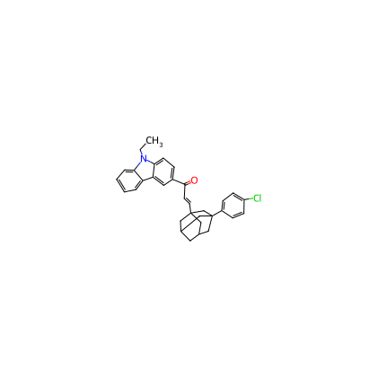 CCn1c2ccccc2c2cc(C(=O)C=CC34CC5CC(C3)CC(c3ccc(Cl)cc3)(C5)C4)ccc21